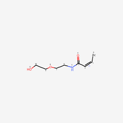 CC(=O)/C=C\C(=O)NCCOCCO